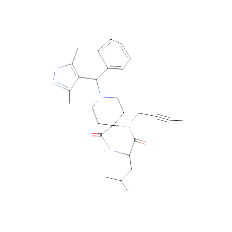 CC#CCN1C(=O)C(CC(C)C)NC(=O)C12CCN(C(c1ccccc1)c1c(C)n[nH]c1C)CC2